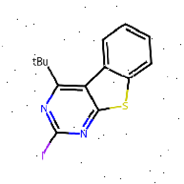 CC(C)(C)c1nc(I)nc2sc3ccccc3c12